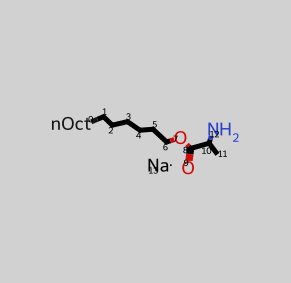 CCCCCCCCCCCCCCOC(=O)C(C)N.[Na]